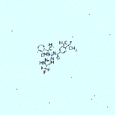 CC(N/C(=N/C(=O)c1ccc(C(C)(C)F)cc1)Nc1cc(C(F)(F)F)[nH]n1)C1=CCCC=C1Cl